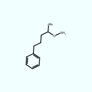 CCCCC(CCCc1ccccc1)O[SiH3]